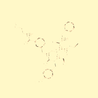 C=CCN1CC(=O)N2[C@@H](Cc3ccc(O)cc3)C(=O)N(Cc3cccc(C(=O)NCCOC)c3)C[C@@H]2N1C(=O)NCc1ccccc1